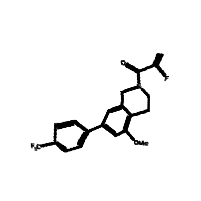 C=C(F)C(=O)N1CCc2c(cc(-c3ccc(C(F)(F)F)cc3)cc2OC)C1